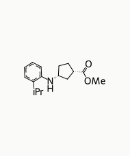 COC(=O)[C@H]1CC[C@@H](Nc2ccccc2C(C)C)C1